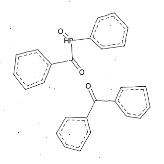 O=C(c1ccccc1)[PH](=O)c1ccccc1.O=C(c1ccccc1)c1ccccc1